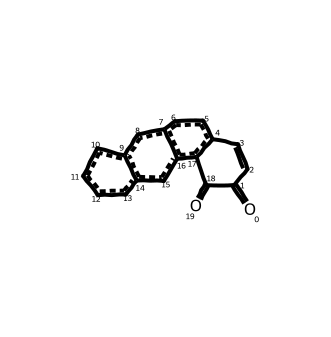 O=C1C=Cc2ccc3cc4ccccc4cc3c2C1=O